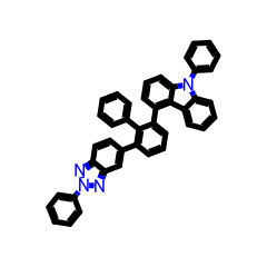 c1ccc(-c2c(-c3ccc4nn(-c5ccccc5)nc4c3)cccc2-c2cccc3c2c2ccccc2n3-c2ccccc2)cc1